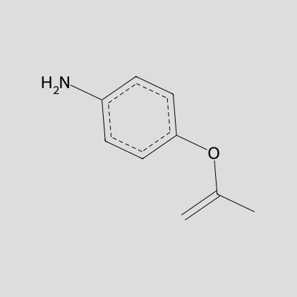 C=C(C)Oc1ccc(N)cc1